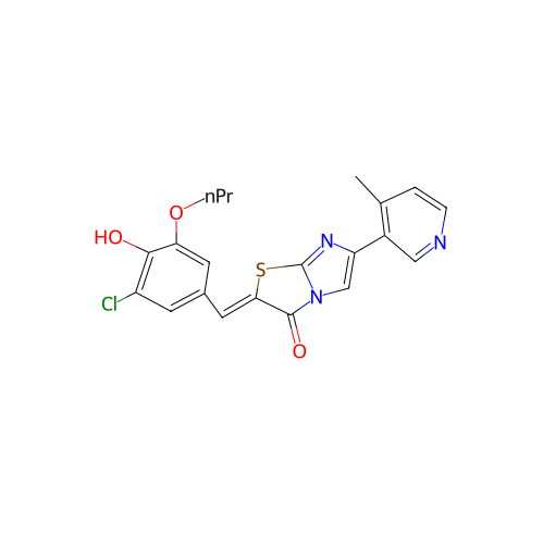 CCCOc1cc(/C=c2\sc3nc(-c4cnccc4C)cn3c2=O)cc(Cl)c1O